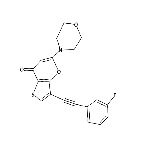 O=c1cc(N2CCOCC2)oc2c(C#Cc3cccc(F)c3)csc12